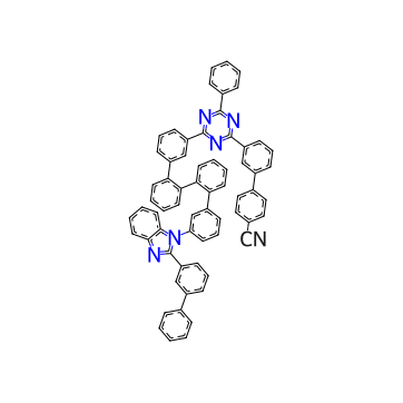 N#Cc1ccc(-c2cccc(-c3nc(-c4ccccc4)nc(-c4cccc(-c5ccccc5-c5ccccc5-c5cccc(-n6c(-c7cccc(-c8ccccc8)c7)nc7ccccc76)c5)c4)n3)c2)cc1